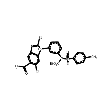 CCOC(=O)N(c1cccc([SH]2C(CC)=Nc3cc(C(N)=O)c(Cl)cc32)c1)S(=O)(=O)c1ccc(C)cc1